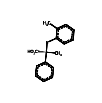 Cc1ccccc1S[C@](C)(C(=O)O)c1ccccc1